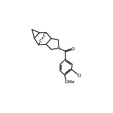 COc1ccc(C(=O)N2CC3C4CCC(C5CC45)C3C2)cc1Cl